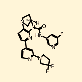 O=C(Nc1cncc(F)c1)N1c2nc(-c3ccnc(N4CCC(F)(F)C4)c3)ccc2N2CC[C@H]1C2